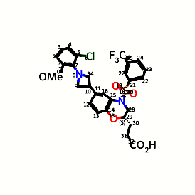 COc1cccc(Cl)c1N1CC(c2ccc3c(c2)N(S(=O)(=O)c2cccc(C(F)(F)F)c2)C[C@H](CCC(=O)O)O3)C1